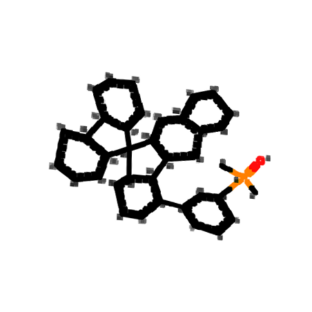 CP(C)(=O)c1cccc(-c2cccc3c2-c2cc4ccccc4cc2C32c3ccccc3-c3ccccc32)c1